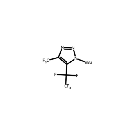 CCCCn1nnc(C(F)(F)F)c1C(F)(F)C(F)(F)F